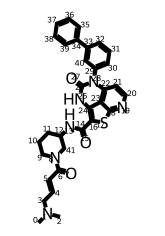 CN(C)C/C=C/C(=O)N1CCCC(NC(=O)c2sc3nccc4c3c2NC(=O)N4c2cccc(-c3ccccc3)c2)C1